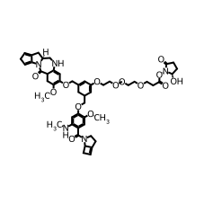 CNc1cc(OCC2C=C(OCCOOCCOCCC(=O)ON3C(=O)CC[C@H]3O)C=C(COC3=C(OC)CC4C(=O)N5C6=CCC=C6C[C@H]5CNC4=C3)C2)c(OC)cc1C(=O)N1CCC2=CCC21